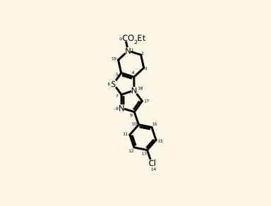 CCOC(=O)N1CCc2c(sc3nc(-c4ccc(Cl)cc4)cn23)C1